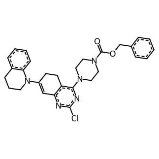 O=C(OCc1ccccc1)N1CCN(c2nc(Cl)nc3c2CCC(N2CCCc4ccccc42)=C3)CC1